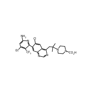 CCc1cc(N)nc(-c2cc3ncnc(CC(C)(C)N4CCN(C(=O)O)CC4)c3cc2Cl)c1C(F)(F)F